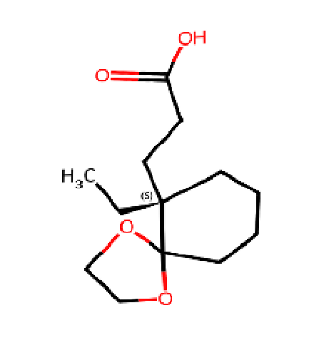 CC[C@@]1(CCC(=O)O)CCCCC12OCCO2